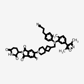 Cc1ccc(-c2c(C)noc2C)cc1N(CC1CC2(CCN(c3cc4c(cc3F)C(=O)N(C3CCC(=O)NC3=O)C4=O)CC2)C1)c1ccc(CCC#N)cc1